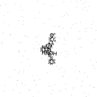 COc1ccc(CN2CCN(c3ncccc3C(=O)NC(O)CCc3ccccc3)CC2)cc1